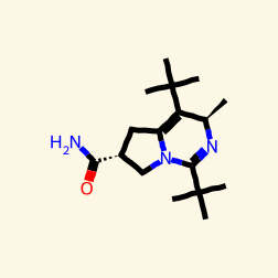 C[C@H]1N=C(C(C)(C)C)N2C[C@H](C(N)=O)CC2=C1C(C)(C)C